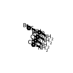 NCCOc1ccc(Br)cc1.NCCOc1ccc(Cl)c(Cl)c1.NCCOc1ccc(I)cc1.NCCSc1cccc(Br)c1.NCCSc1cccc(Cl)c1